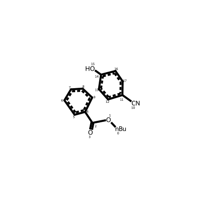 CCCCOC(=O)c1ccccc1.N#Cc1ccc(O)cc1